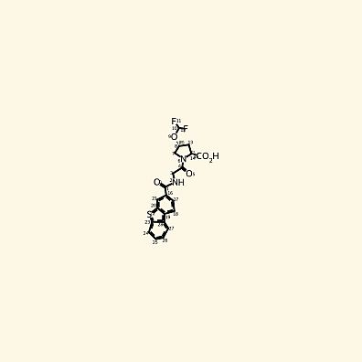 O=C(NCC(=O)N1C[C@H](OC(F)F)C[C@H]1C(=O)O)c1ccc2c(c1)sc1ccccc12